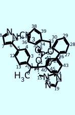 C[C@@H](c1ccc(-c2ccnn2C)cc1)[C@@](Cn1cncn1)(OP(=O)(OCc1ccccc1)OCc1ccccc1)c1ccccc1